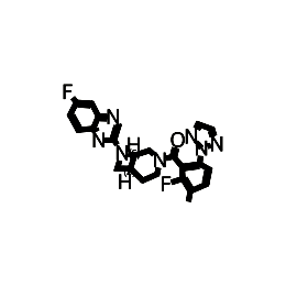 Cc1ccc(-n2nccn2)c(C(=O)N2CC[C@H]3CN(c4cnc5cc(F)ccc5n4)[C@@H]3C2)c1F